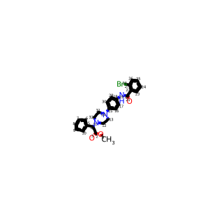 COC(=O)C(c1ccccc1)N1CCN(c2ccc(NC(=O)c3ccccc3Br)cc2)CC1